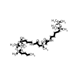 CCCC[Si](C)(C)O[Si](C)(C)O[Si](C)(C)CCCNC(=O)C[N+](C)(C)CC(=O)NCCCC[Si](C)(C)O[Si](C)(C)C